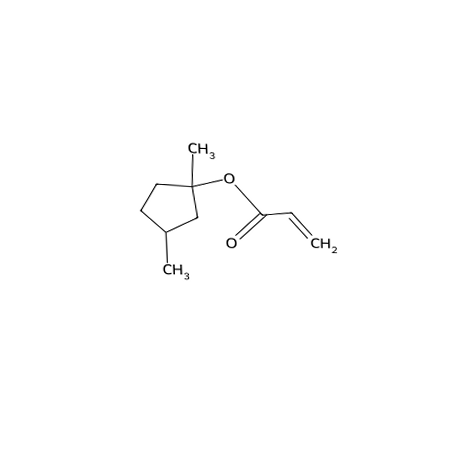 C=CC(=O)OC1(C)CCC(C)C1